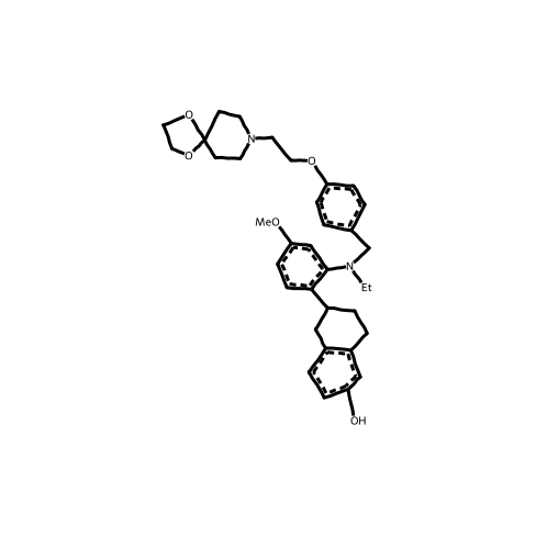 CCN(Cc1ccc(OCCN2CCC3(CC2)OCCO3)cc1)c1cc(OC)ccc1C1CCc2cc(O)ccc2C1